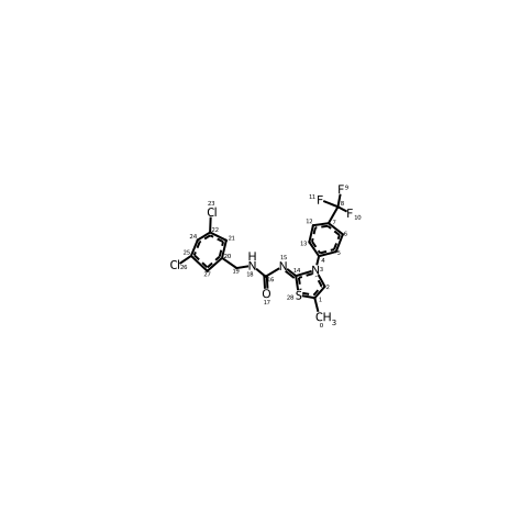 Cc1cn(-c2ccc(C(F)(F)F)cc2)c(=NC(=O)NCc2cc(Cl)cc(Cl)c2)s1